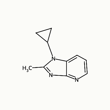 Cc1nc2ncccc2n1C1CC1